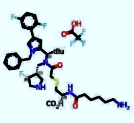 CC(C)(C)[C@H](c1cc(-c2cc(F)ccc2F)cn1Cc1ccccc1)N(C[C@@H]1CNC[C@@H]1F)C(=O)CSC[C@H](NC(=O)CCCCCN)C(=O)O.O=C(O)C(F)(F)F